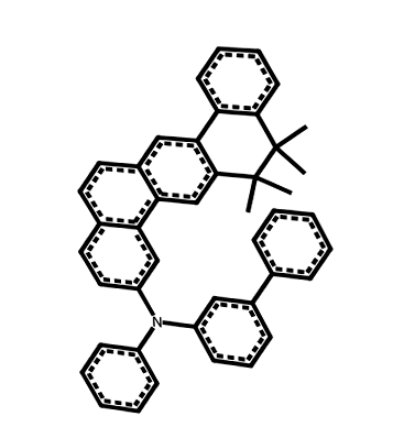 CC1(C)c2ccccc2-c2cc3ccc4ccc(N(c5ccccc5)c5cccc(-c6ccccc6)c5)cc4c3cc2C1(C)C